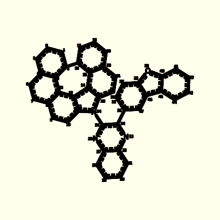 c1cc2c3c(c1)ccc1ccc4c(c13)c1c3c-2cccc3ccc1n4-c1nc2ccccc2nc1-c1ccc2oc3ccccc3c2c1